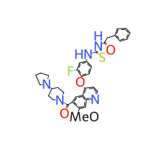 COc1cc2nccc(Oc3ccc(NC(=S)NC(=O)Cc4ccccc4)cc3F)c2cc1C(=O)N1CCC(N2CCCC2)CC1